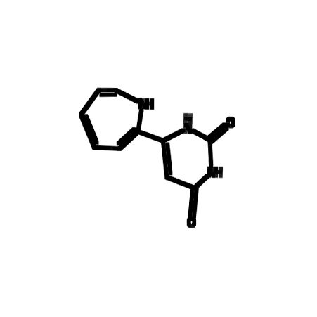 O=c1cc(C2=CC=CC=CN2)[nH]c(=O)[nH]1